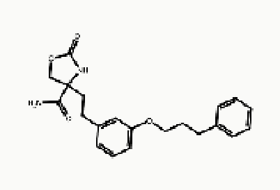 NC(=O)C1(CCc2cccc(OCCCc3ccccc3)c2)COC(=O)N1